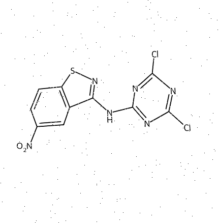 O=[N+]([O-])c1ccc2snc(Nc3nc(Cl)nc(Cl)n3)c2c1